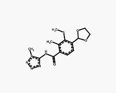 CSc1c(C2OCCO2)ccc(C(=O)Nc2nnnn2C)c1C